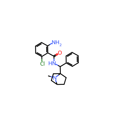 CN1C2CCC1(C(NC(=O)c1c(N)cccc1Cl)c1ccccc1)CC2